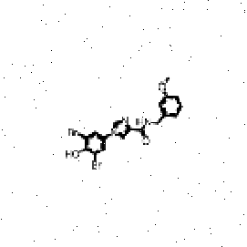 COc1cccc(CNC(=O)c2cn(-c3cc(Br)c(O)c(Br)c3)cn2)c1